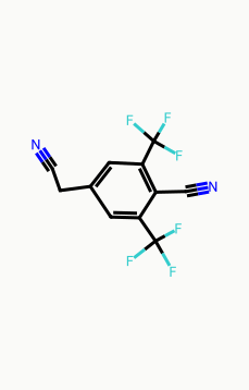 N#CCc1cc(C(F)(F)F)c(C#N)c(C(F)(F)F)c1